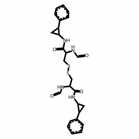 O=CNC(CSSCC(NC=O)C(=O)NC1CC1c1ccccc1)C(=O)NC1CC1c1ccccc1